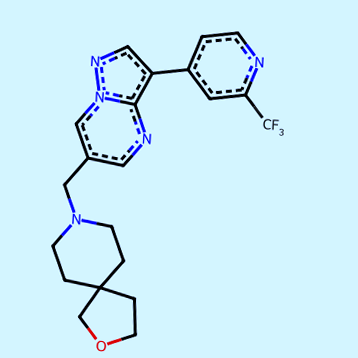 FC(F)(F)c1cc(-c2cnn3cc(CN4CCC5(CCOC5)CC4)cnc23)ccn1